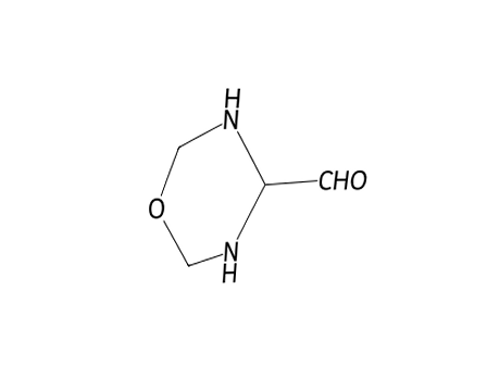 O=CC1NCOCN1